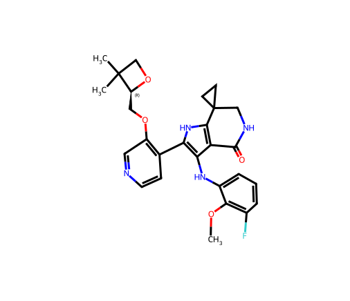 COc1c(F)cccc1Nc1c(-c2ccncc2OC[C@@H]2OCC2(C)C)[nH]c2c1C(=O)NCC21CC1